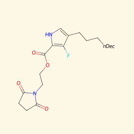 CCCCCCCCCCCCCc1c[nH]c(C(=O)OCCN2C(=O)CCC2=O)c1F